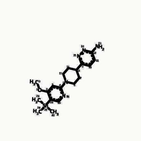 COc1cc(N2CCC(c3ccc(N)nn3)CC2)nc[c]1[Sn]([CH3])([CH3])[CH3]